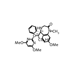 COc1ccc2c(c1)N(C)C(=O)CN[C@]2(c1ccccc1)[C@H](Oc1nc(OC)cc(OC)n1)C(=O)O